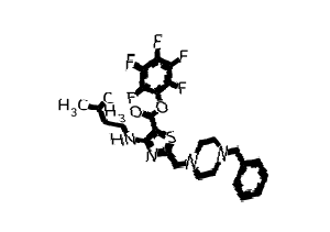 CC(C)CCNc1nc(CN2CCN(Cc3ccccc3)CC2)sc1C(=O)Oc1c(F)c(F)c(F)c(F)c1F